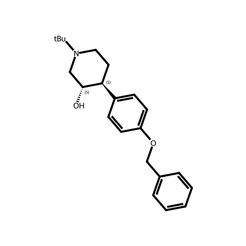 CC(C)(C)N1CC[C@@H](c2ccc(OCc3ccccc3)cc2)[C@H](O)C1